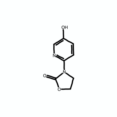 O=C1OCCN1c1ccc(O)cn1